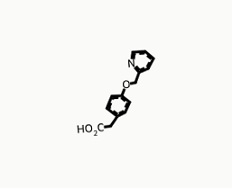 O=C(O)Cc1ccc(OCc2ccccn2)cc1